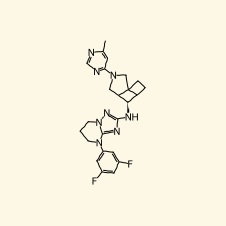 Cc1cc(N2CC3[C@H](Nc4nc5n(n4)CCCN5c4cc(F)cc(F)c4)C4CCC43C2)ncn1